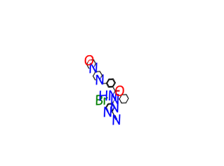 N#Cc1ncc(Br)c(N(NC(=O)c2cccc(CN3CCC(N4CCOCC4)CC3)c2)C2CCCCC2)n1